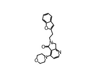 O=C1c2c(N3CCOCC3)ccnc2CN1CCc1cc2ccccc2o1